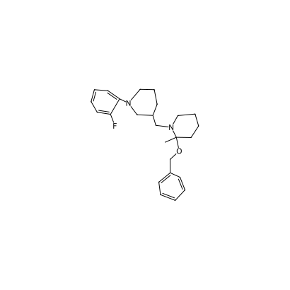 CC1(OCc2ccccc2)CCCCN1CC1CCCN(c2ccccc2F)C1